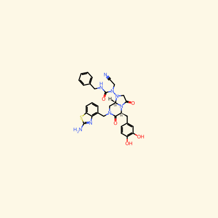 N#CCN(C(=O)NCc1ccccc1)N1CC(=O)N2[C@@H](Cc3ccc(O)c(O)c3)C(=O)N(Cc3cccc4sc(N)nc34)C[C@@H]21